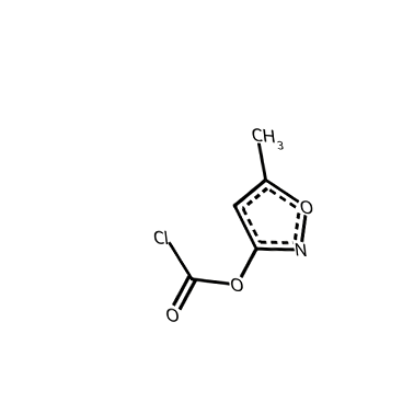 Cc1cc(OC(=O)Cl)no1